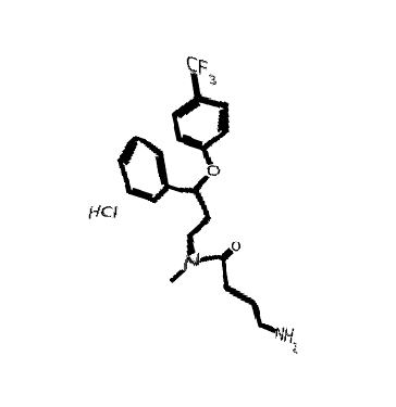 CN(CCC(Oc1ccc(C(F)(F)F)cc1)c1ccccc1)C(=O)CCCN.Cl